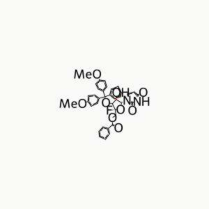 COc1ccc(C(O[C@H]2[C@H](O)[C@H](n3ccc(=O)[nH]c3=O)O[C@@]2(F)COC(=O)c2ccccc2)(c2ccccc2)c2ccc(OC)cc2)cc1